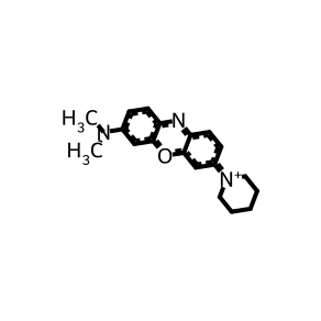 CN(C)c1ccc2nc3ccc(=[N+]4CCCCC4)cc-3oc2c1